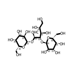 O=C[C@H](O[C@@H]1O[C@H](CO)[C@H](O)[C@H](O)[C@H]1O)[C@@H](O[C@H]1O[C@H](CO)[C@H](O)[C@H](O)[C@H]1O)[C@H](O)[C@H](O)CO